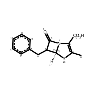 CC1=C(C(=O)O)N2C(=O)C(Cc3ccccc3)[C@@H]2S1